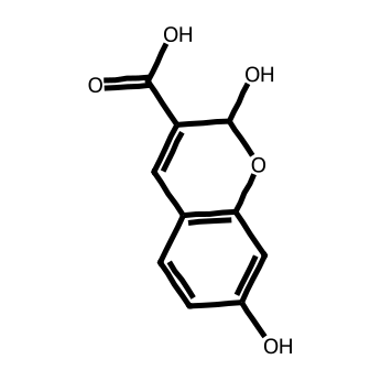 O=C(O)C1=Cc2ccc(O)cc2OC1O